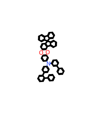 c1ccc(-c2cccc(N(c3ccc(-c4ccccc4-c4ccccc4)cc3)c3ccc4c(c3)Oc3c(ccc5c3-c3ccccc3C53c5ccccc5-c5ccccc53)O4)c2)cc1